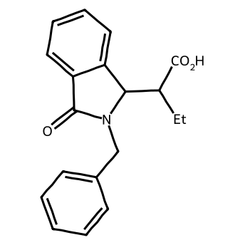 CCC(C(=O)O)C1c2ccccc2C(=O)N1Cc1ccccc1